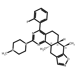 C[C@H]1c2oncc2C[C@@]2(C)c3nc(N4CCN(C)CC4)nc(-c4ccccc4F)c3CC[C@H]12